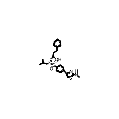 CNc1nc(-c2ccc(S(=O)(=O)N(CC(C)C)CC(O)[CH]Cc3ccccc3)cc2)cs1